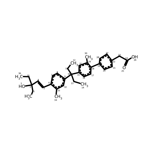 CCC(O)(/C=C/c1ccc(C(CC)(CC)c2ccc(-c3ccc(CC(=O)O)cc3)c(C)c2)cc1C)CC